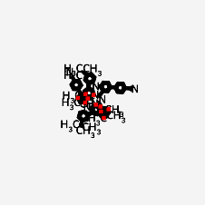 CC(C)(C)c1ccc2c(c1)c1cc(C(C)(C)C)ccc1n2-c1ccc(-c2ccc(C#N)cc2)cc1-c1nc(-c2ccccc2)nc(-c2cc(-c3ccc(C#N)cc3)ccc2-n2c3ccc(C(C)(C)C)cc3c3cc(C(C)(C)C)ccc32)n1